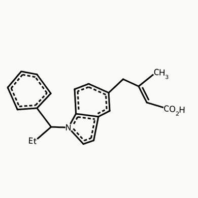 CCC(c1ccccc1)n1ccc2cc(CC(C)=CC(=O)O)ccc21